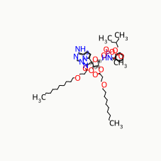 CCCCCCCCCCOCCC(=O)O[C@H]1[C@@H](OC(=O)CCOCCCCCCCCCC)[C@](C#N)(c2ccc3c(N)ncnn23)O[C@@H]1COP(=O)(N[C@H](C)C(=O)OCC(CC)CC)Oc1ccccc1